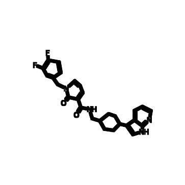 O=C(NCC1CCC(c2c[nH]c3ncccc23)CC1)c1cccn(Cc2ccc(F)c(F)c2)c1=O